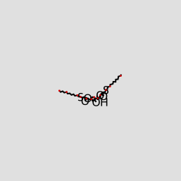 CCCCCCCCCCCCSCCC(=O)OCc1ccc(C(C)(C)COC(=O)CCSCCCCCCCCCCCC)c(O)c1